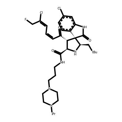 C=C(/C=C\C=C(\Cl)CF)[C@H]1[C@H](C(=O)NCCCN2CCN(C(C)C)CC2)N[C@H](CC(C)(C)C)[C@]12C(=O)Nc1cc(Cl)ccc12